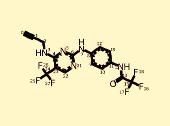 C#CCNc1nc(Nc2ccc(NC(=O)C(F)(F)F)cc2)ncc1C(F)(F)F